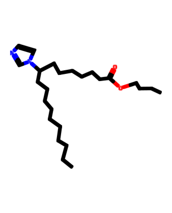 CCCCCCCCCCC(CCCCCCC(=O)OCCCC)n1ccnc1